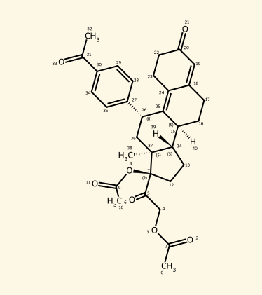 CC(=O)OCC(=O)[C@@]1(OC(C)=O)CC[C@H]2[C@@H]3CCC4=CC(=O)CCC4=C3[C@@H](c3ccc(C(C)=O)cc3)C[C@@]21C